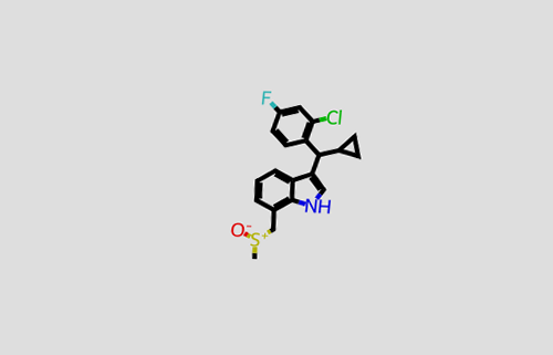 C[S+]([O-])Cc1cccc2c(C(c3ccc(F)cc3Cl)C3CC3)c[nH]c12